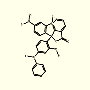 CCOc1cc(N(CC)CC)ccc1C1(c2ccc(N(CC)c3ccccc3)cc2OCC)OC(=O)c2cccnc21